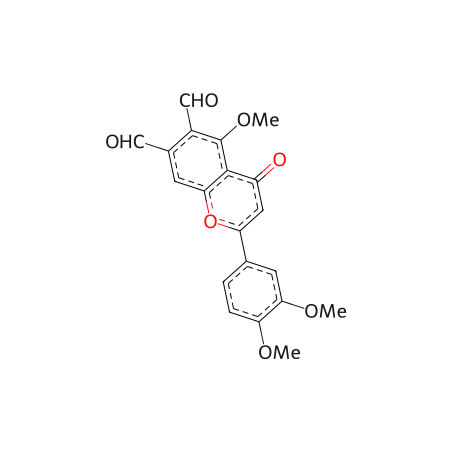 COc1ccc(-c2cc(=O)c3c(OC)c(C=O)c(C=O)cc3o2)cc1OC